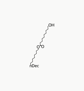 CCCCCCCCCCCCCCCCCCOC(=O)CCCCCCCCCO